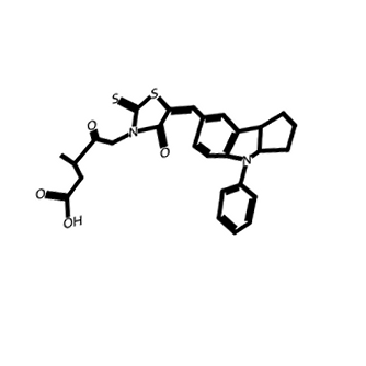 CC(CC(=O)O)C(=O)CN1C(=O)/C(=C\c2ccc3c(c2)C2CCCC2N3c2ccccc2)SC1=S